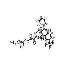 CNCCNC(=O)[C@H]1CC[C@@H]2[C@H](O1)c1cc(C(F)(F)F)ccc1N[C@H]2C1C=CC=CC1